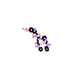 O=C(Cn1cccc(NC(=O)[C@H](CCC(=O)C(=O)NC2CCCC2)NC(=O)c2cnc3ccc(OC(F)(F)F)cc3c2O)c1=O)NC1CC2CCC1C2